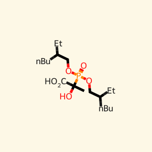 CCCCC(CC)COP(=O)(OCC(CC)CCCC)C(C)(O)C(=O)O